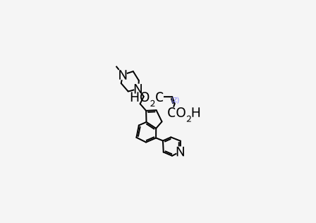 CN1CCN(CCC2=CCc3c2cccc3-c2ccncc2)CC1.O=C(O)/C=C\C(=O)O